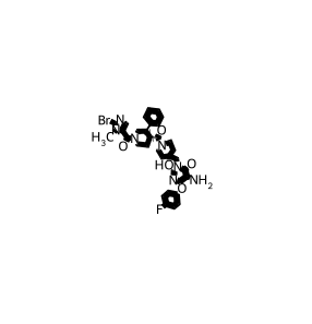 Cn1c(C(=O)N2CC[C@@H](C(=O)N3CCC(O)(Cn4cnc(Oc5ccc(F)cc5)c(N)c4=O)CC3)[C@H](c3ccccc3)C2)cnc1Br